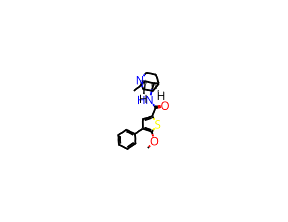 COc1sc(C(=O)N[C@@H]2C3CCN(CC3)[C@H]2C)cc1-c1ccccc1